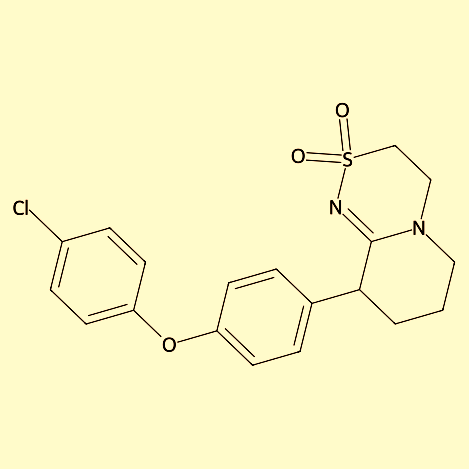 O=S1(=O)CCN2CCCC(c3ccc(Oc4ccc(Cl)cc4)cc3)C2=N1